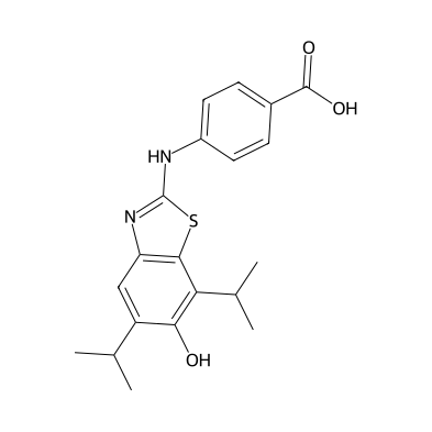 CC(C)c1cc2nc(Nc3ccc(C(=O)O)cc3)sc2c(C(C)C)c1O